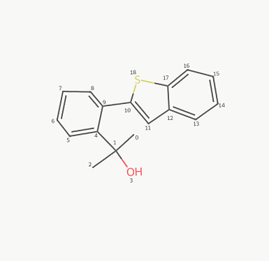 CC(C)(O)c1ccccc1-c1cc2ccccc2s1